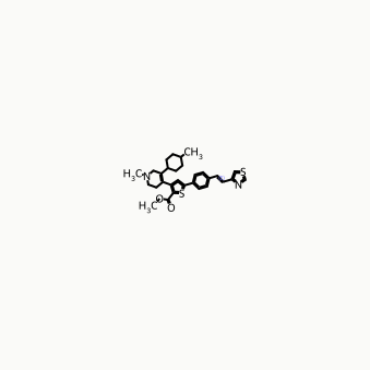 COC(=O)c1sc(-c2ccc(/C=C/c3cscn3)cc2)cc1C1=C(C2CCC(C)CC2)CN(C)CC1